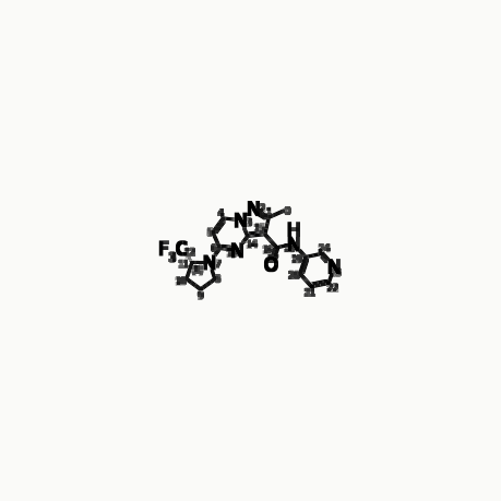 Cc1nn2ccc(N3CCC[C@@H]3C(F)(F)F)nc2c1C(=O)Nc1cccnc1